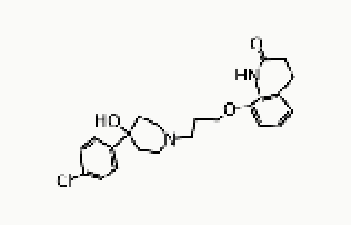 O=C1CCc2cccc(OCCCN3CCC(O)(c4ccc(Cl)cc4)CC3)c2N1